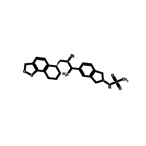 CCN(C[C@@H]1CCCc2c1ccc1c2OOC1)C(C)c1ccc2c(c1)CN(NS(C)(=O)=O)C2